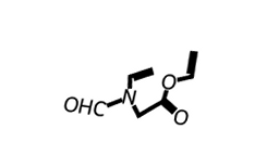 C=COC(=O)CN(C=C)C=O